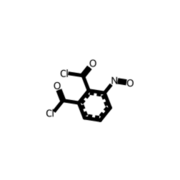 O=Nc1cccc(C(=O)Cl)c1C(=O)Cl